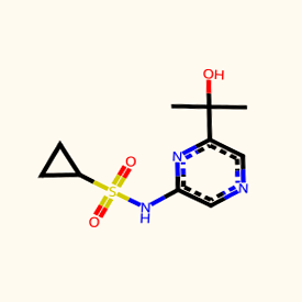 CC(C)(O)c1cncc(NS(=O)(=O)C2CC2)n1